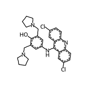 Oc1c(CN2CCCC2)cc(Nc2c3cc(Cl)ccc3nc3ccc(Cl)cc23)cc1CN1CCCC1